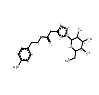 COc1ccc(CCNC(=O)Cc2nnn(C3OC(COC(C)=O)C(OC(C)=O)C(OC(C)=O)C3OC(C)=O)n2)cc1